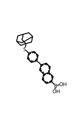 OB(O)c1ccc2cc(-c3ccc(SC45CC6CC(CC(C6)C4)C5)cc3)ccc2c1